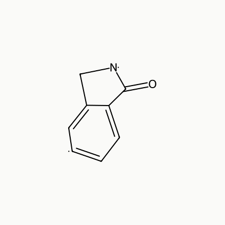 O=C1[N]Cc2c[c]ccc21